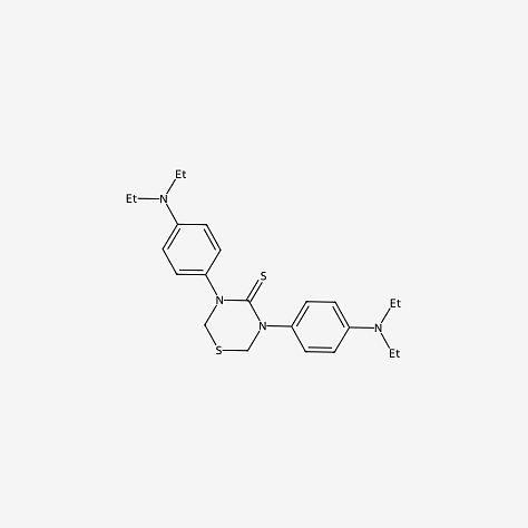 CCN(CC)c1ccc(N2CSCN(c3ccc(N(CC)CC)cc3)C2=S)cc1